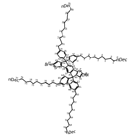 CCCCCCCCCCCCCCCCCCCCc1ccc(C2(c3ccc(CCCCCCCCCCCCCCCCCCCC)cc3)c3cc4c(cc3-c3sc(Br)cc32)C(c2ccc(CCCCCCCCCCCCCCCCCCCC)cc2)(c2ccc(CCCCCCCCCCCCCCCCCCCC)cc2)c2cc(Br)sc2-4)cc1